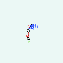 CNCC(C=N)C(=O)NC[C@H]1CC[C@@H](OCCOc2ccc(F)cc2)CC1